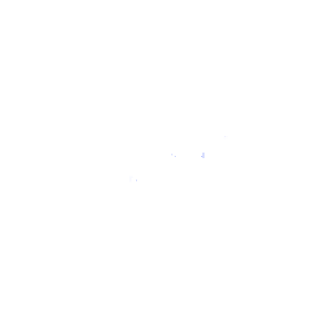 C/C=C(\CC)NNCNCCC